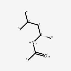 [CH2][C@@H](CC(C)C)NC(C)=O